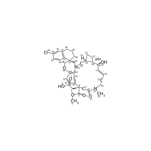 COC(=O)[C@@]1(CC(=O)O)CC(=O)N(C)CC/C=C/[C@H](O)[C@@H]2CC[C@H]2CN2C[C@@]3(CCCc4cc(Cl)ccc43)COc3ccc1cc32